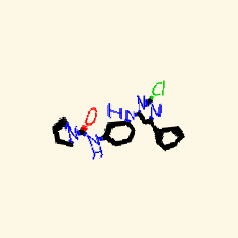 O=C(NC1CCCC(Nc2cc(-c3ccccc3)nc(Cl)n2)C1)N1CCCC1